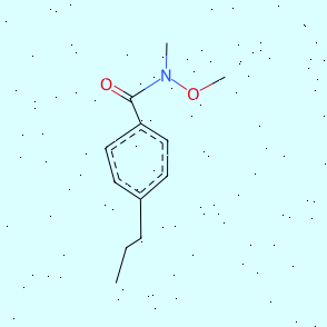 CCCc1ccc(C(=O)N(C)OC)cc1